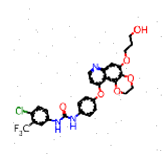 O=C(Nc1ccc(Oc2ccnc3cc(OCCCO)c4c(c23)OCCO4)cc1)Nc1ccc(Cl)c(C(F)(F)F)c1